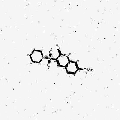 COc1ccc2cc(S(=O)(=O)N3CCCCC3)c(=O)oc2c1